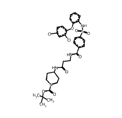 CC(C)(C)OC(=O)N1CCC(NC(=O)CCNC(=O)c2ccc(S(=O)(=O)Nc3ccccc3Oc3ccc(Cl)cc3Cl)cc2)CC1